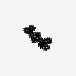 c1ccc(-c2nnc(-c3ccc(-c4ccccc4-c4ccccc4-c4ccc(-n5c6ccccc6c6ccccc65)cc4)cc3)n2-c2ccc3ccccc3c2)cc1